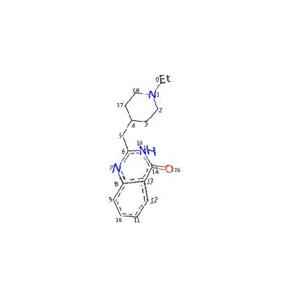 CCN1CCC(Cc2nc3ccccc3c(=O)[nH]2)CC1